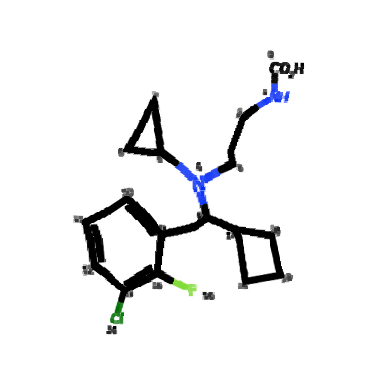 O=C(O)NCCN(C1CC1)C(c1cccc(Cl)c1F)C1CCC1